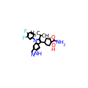 CC(C)c1c(C2CCC(O)(C(N)=O)CC2)c2cc3[nH]ncc3cc2n1-c1ccc(F)c(F)c1